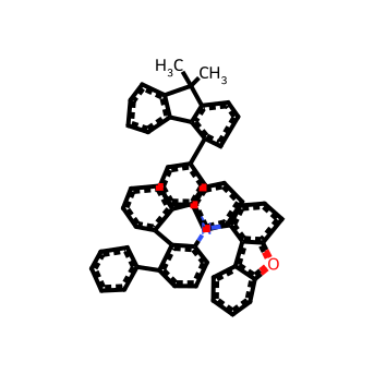 CC1(C)c2ccccc2-c2c(-c3cccc(N(c4cccc(-c5ccccc5)c4-c4ccccc4-c4ccccc4)c4cccc5oc6ccccc6c45)c3)cccc21